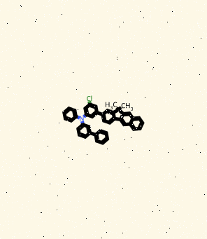 CC1(C)c2cc(-c3cc(Cl)cc(N(c4ccccc4)c4cccc(-c5ccccc5)c4)c3)ccc2-c2cc3ccccc3cc21